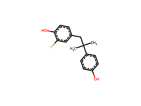 CC(C)(Cc1ccc(O)c(F)c1)c1ccc(O)cc1